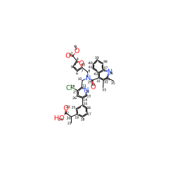 COC(=O)c1ccc(CN(Cc2ncc(-c3cccc(C(C)C(=O)O)c3)cc2Cl)C(=O)c2c(C)c(C)nc3ccccc23)o1